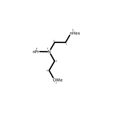 CCCCCCCCN(CCC)CCOC